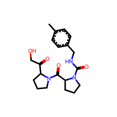 Cc1ccc(CNC(=O)N2CCCC2C(=O)N2CCCC2C(=O)CO)cc1